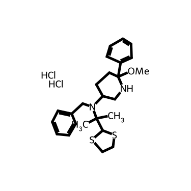 COC1(c2ccccc2)CCC(N(Cc2ccccc2)C(C)(C)C2SCCS2)CN1.Cl.Cl